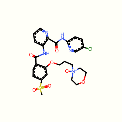 CS(=O)(=O)c1ccc(C(=O)Nc2cccnc2C(=O)Nc2ccc(Cl)cn2)c(OCCC[N+]2([O-])CCOCC2)c1